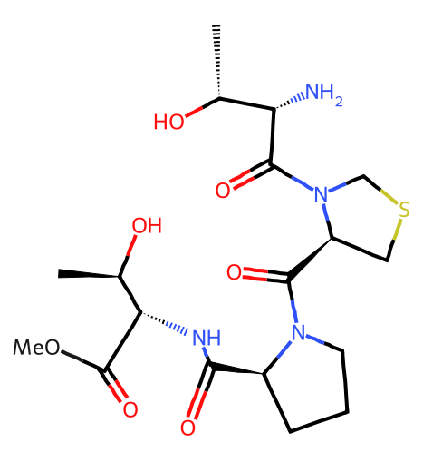 COC(=O)[C@@H](NC(=O)[C@@H]1CCCN1C(=O)[C@@H]1CSCN1C(=O)[C@@H](N)[C@@H](C)O)[C@@H](C)O